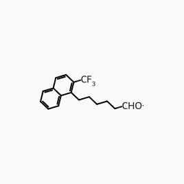 O=[C]CCCCCc1c(C(F)(F)F)ccc2ccccc12